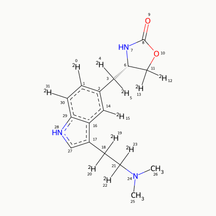 [2H]c1c(C([2H])([2H])[C@@H]2NC(=O)OC2([2H])[2H])c([2H])c2c(C([2H])([2H])C([2H])([2H])N(C)C)c[nH]c2c1[2H]